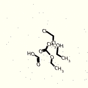 CCO.CCOC(C)=O.ClCCl.O=CO